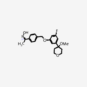 COC1(c2cc(F)cc(OCc3ccc(/C(C)=N\O)cc3)c2)CCOCC1